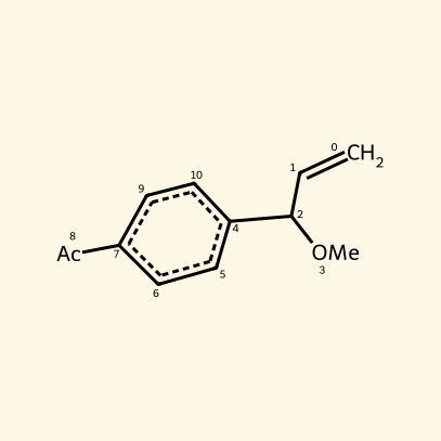 C=CC(OC)c1ccc(C(C)=O)cc1